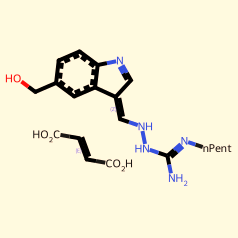 CCCCCN=C(N)NN/C=C1\C=Nc2ccc(CO)cc21.O=C(O)/C=C/C(=O)O